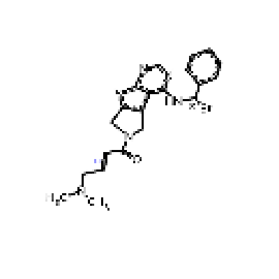 CC[C@@H](Nc1ncnc2sc3c(c12)CN(C(=O)/C=C/CN(C)C)C3)c1ccccc1